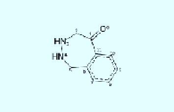 O=C1CNNCc2ccccc21